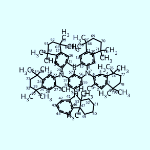 Cc1cc2c(cc1N1c3cc4c(cc3B3c5cc6c(cc5N(c5cc7c(cc5C)C(C)(C)CCC7(C)C)c5cc(N7c8ccccc8C8(C)CCCCC78C)cc1c53)C(C)(C)CCC6(C)C)C(C)(C)CCC4(C)C)C(C)(C)CCC2(C)C